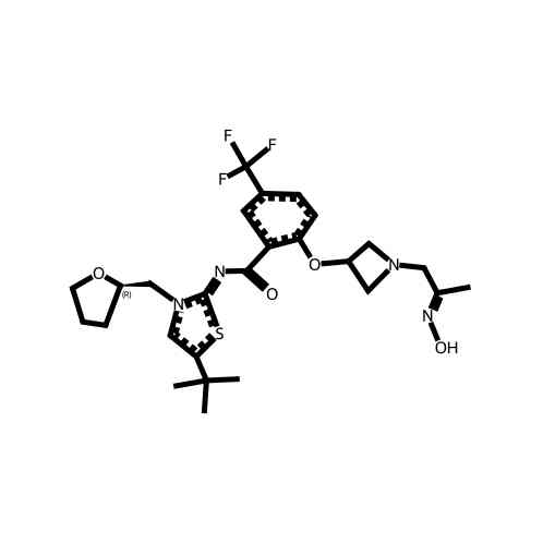 CC(CN1CC(Oc2ccc(C(F)(F)F)cc2C(=O)N=c2sc(C(C)(C)C)cn2C[C@H]2CCCO2)C1)=NO